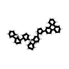 c1cc(-c2ccc3c4ccccc4c4ccccc4c3c2)cc(-c2ccc3c4ccccc4n(-c4cccc(-c5cccc6c5sc5ccccc56)c4)c3c2)c1